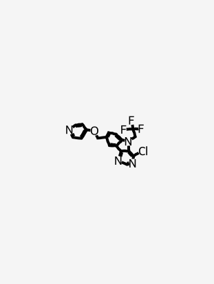 FC(F)(F)Cn1c2ccc(COc3ccncc3)cc2c2ncnc(Cl)c21